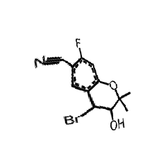 CC1(C)Oc2cc(F)c(C#N)cc2C(Br)C1O